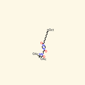 CCCCCCCCC=CCCCCCCCC(=O)N1CCN(C(=O)CCNC(=O)C(OC(C)=O)C(C)(C)COC(C)=O)CC1